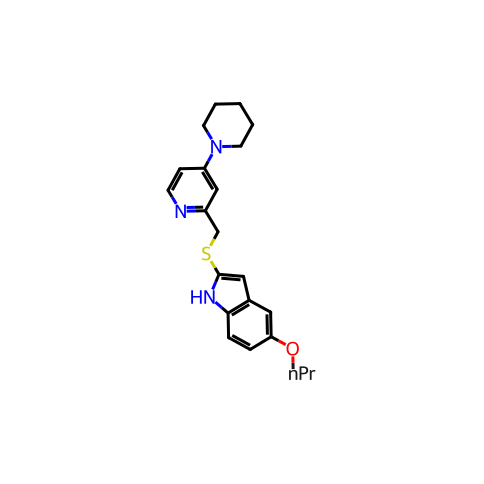 CCCOc1ccc2[nH]c(SCc3cc(N4CCCCC4)ccn3)cc2c1